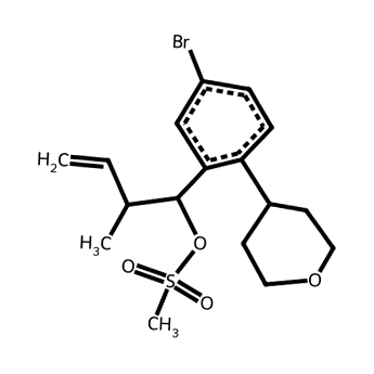 C=CC(C)C(OS(C)(=O)=O)c1cc(Br)ccc1C1CCOCC1